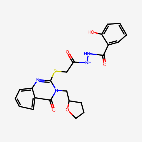 O=C(CSc1nc2ccccc2c(=O)n1CC1CCCO1)NNC(=O)c1ccccc1O